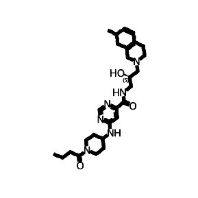 CCCC(=O)N1CCC(Nc2cc(C(=O)NC[C@H](O)CN3CCC4=C(CC(C)C=C4)C3)ncn2)CC1